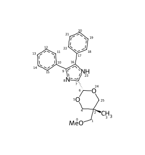 COC[C@]1(C)CO[C@H](c2nc(-c3ccccc3)c(-c3ccccc3)[nH]2)OC1